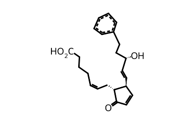 O=C(O)CCC/C=C\C[C@H]1C(=O)C=C[C@@H]1/C=C/[C@@H](O)CCc1ccccc1